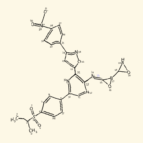 CC(C)S(=O)(=O)c1ccc(-c2cnc(/N=C3\OB3C3BO3)c(-c3cc(-c4ccc([N+](=O)[O-])cc4)no3)n2)cc1